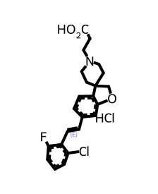 Cl.O=C(O)CCN1CCC2(CC1)COc1cc(/C=C/c3c(F)cccc3Cl)ccc12